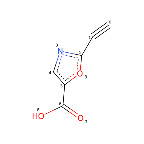 C#Cc1ncc(C(=O)O)o1